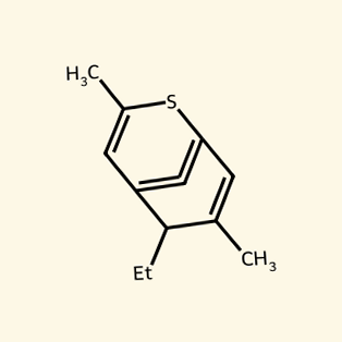 CCC1C2=C=C(C=C1C)SC(C)=C2